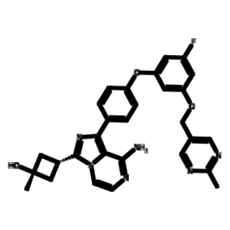 Cc1ncc(COc2cc(F)cc(Oc3ccc(-c4nc([C@H]5C[C@@](C)(O)C5)n5ccnc(N)c45)cc3)c2)cn1